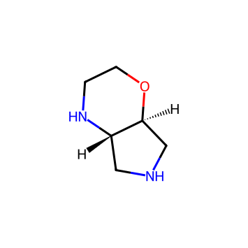 C1CO[C@H]2CNC[C@@H]2N1